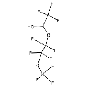 O[C](OC(F)(F)C(F)(F)OC(F)(F)F)C(F)(F)F